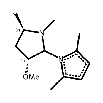 [CH2][C@@H]1C[C@@H](OC)C(n2c(C)ccc2C)N1C